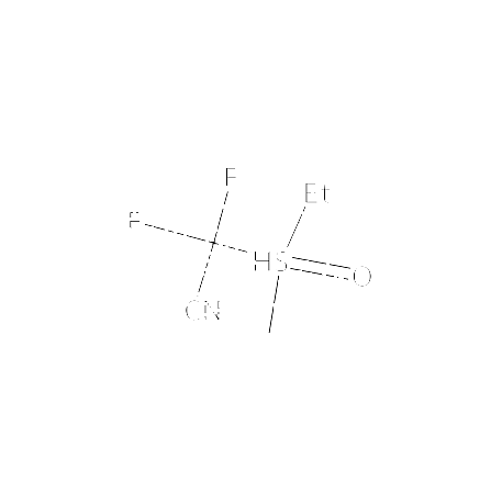 CC[SH](C)(=O)C(F)(F)C#N